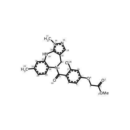 COC(=O)COc1ccc(C(=O)N2Cc3cnn(C)c3Nc3cc(C)ccc32)c(Cl)c1